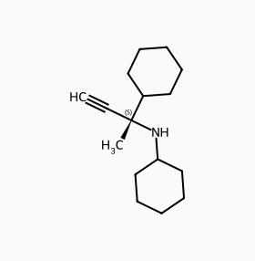 C#C[C@@](C)(NC1CCCCC1)C1CCCCC1